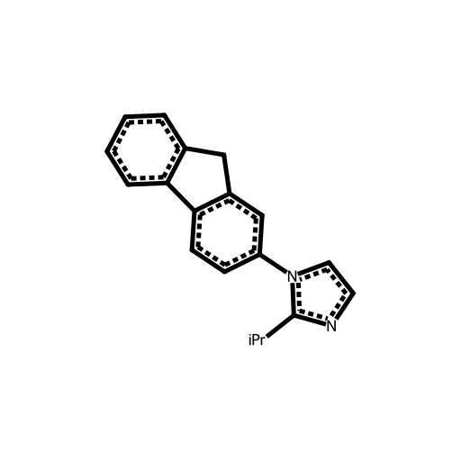 CC(C)c1nccn1-c1ccc2c(c1)Cc1ccccc1-2